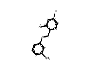 Nc1cccc(OCc2ccc(F)cc2Cl)c1